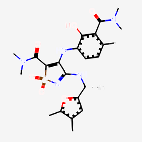 Cc1cc([C@H](NC2=NS(=O)(=O)C(C(=O)N(C)C)=C2Nc2ccc(C(F)(F)F)c(C(=O)N(C)C)c2O)C(C)C)oc1C